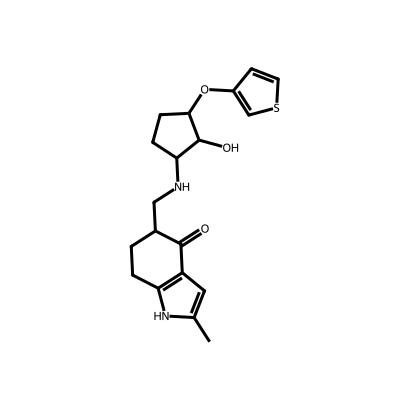 Cc1cc2c([nH]1)CCC(CNC1CCC(Oc3ccsc3)C1O)C2=O